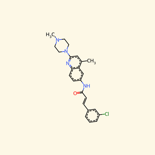 Cc1cc(N2CCN(C)CC2)nc2ccc(NC(=O)C=Cc3cccc(Cl)c3)cc12